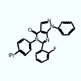 CC(C)c1ccc(-n2c(-c3ccccc3F)nc3c(cnn3-c3ccccc3)c2=O)cc1